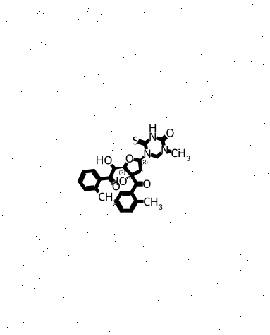 Cc1ccccc1C(=O)C(O)[C@H]1O[C@@H](N2CN(C)C(=O)NC2=S)C[C@@]1(O)C(=O)c1ccccc1C